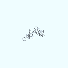 Cc1cc(NC(=O)c2c(C)cccc2OCc2cc(=O)n3nc(-c4ccccc4)nc3[nH]2)n(C)n1